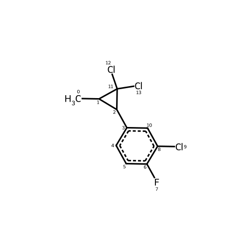 CC1C(c2ccc(F)c(Cl)c2)C1(Cl)Cl